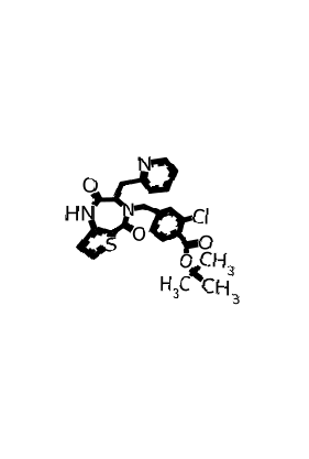 CC(C)(C)OC(=O)c1ccc(CN2C(=O)c3sccc3NC(=O)C2Cc2ccccn2)cc1Cl